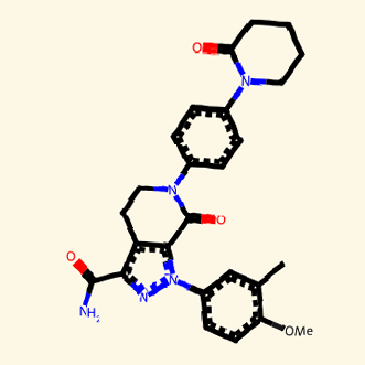 COc1ccc(-n2nc(C(N)=O)c3c2C(=O)N(c2ccc(N4CCCCC4=O)cc2)CC3)cc1C